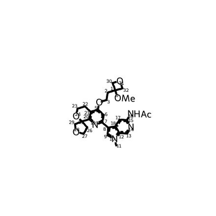 COC1(CCOc2cc(-c3cn(C)c4cnc(NC(C)=O)cc34)nc3c2CCOC32CCOC2)COC1